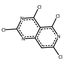 Clc1cc2nc(Cl)nc(Cl)c2c(Cl)n1